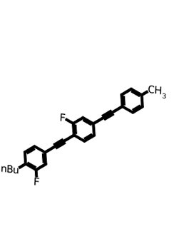 CCCCc1ccc(C#Cc2ccc(C#Cc3ccc(C)cc3)cc2F)cc1F